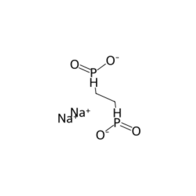 O=[PH]([O-])CC[PH](=O)[O-].[Na+].[Na+]